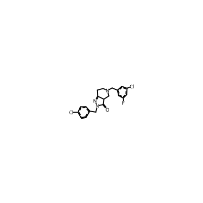 O=C1C2CN(Cc3cc(F)cc(Cl)c3)CCC2=NN1Cc1ccc(Cl)cc1